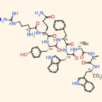 CC[C@H](C)[C@H](NC(=O)[C@H](Cc1c[nH]c2ccccc12)NC(=O)[C@H](Cc1ccccc1)NC(=O)[C@H](Cc1ccc(O)cc1)NC(=O)[C@H](CCC(N)=O)NC(=O)[C@@H](N)CCCNC(=N)N)C(=O)N[C@@H](C)C(=O)N[C@@H](Cc1c[nH]c2ccccc12)C(=O)O